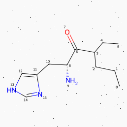 CCCC(CC)C(=O)[C@H](N)Cc1c[nH]cn1